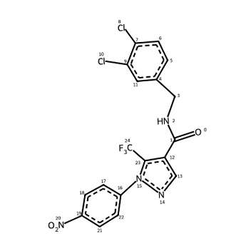 O=C(NCc1ccc(Cl)c(Cl)c1)c1cnn(-c2ccc([N+](=O)[O-])cc2)c1C(F)(F)F